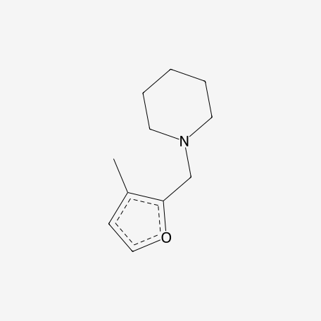 Cc1ccoc1CN1CCCCC1